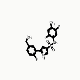 O=S(=O)(Nc1cc(F)c(C(F)(F)F)cc1F)c1c[nH]c(-c2cc(CO)ccc2F)c1